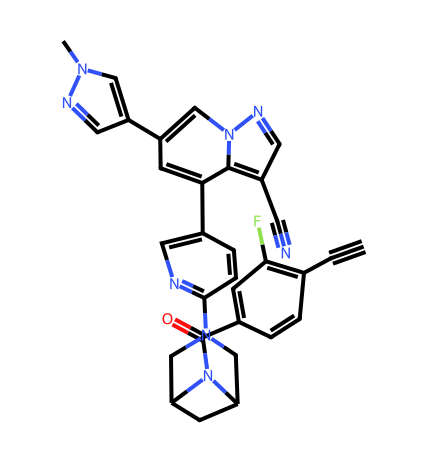 C#Cc1ccc(C(=O)N2C3CC2CN(c2ccc(-c4cc(-c5cnn(C)c5)cn5ncc(C#N)c45)cn2)C3)cc1F